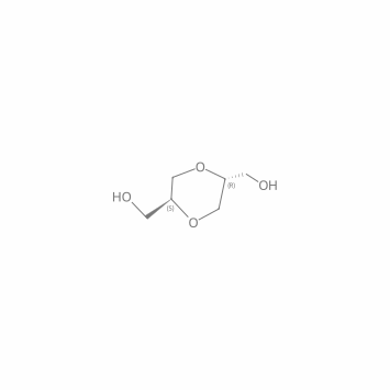 OC[C@@H]1CO[C@@H](CO)CO1